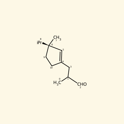 CC(C=O)CC1=C[C@](C)(C(C)C)CC1